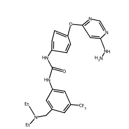 CCN(CC)Cc1cc(NC(=O)Nc2ccc(Oc3cc(NN)ncn3)cc2)cc(C(F)(F)F)c1